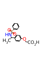 CC(NS(=O)(=O)c1ccccc1)c1ccc(OCC(=O)O)cc1